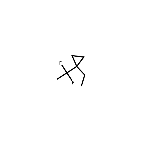 CCC1(C(C)(F)F)CC1